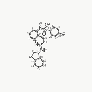 CN(c1cccc2nc(N[C@@H]3CCc4ccccc43)ccc12)S(=O)(=O)c1ccc(F)cc1